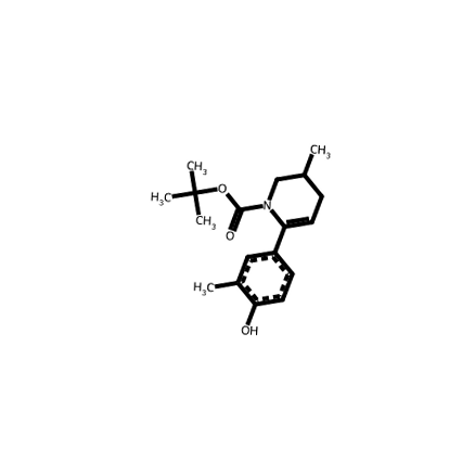 Cc1cc(C2=CCC(C)CN2C(=O)OC(C)(C)C)ccc1O